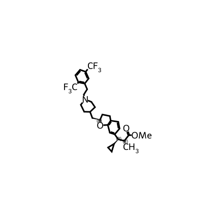 COC(=O)[C@H](C)[C@H](c1ccc2c(c1)O[C@@H](CC1CCN(CCc3cc(C(F)(F)F)ccc3C(F)(F)F)CC1)CC2)C1CC1